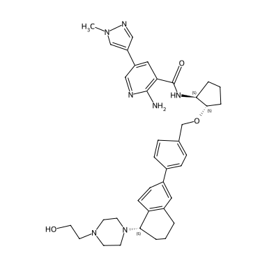 Cn1cc(-c2cnc(N)c(C(=O)N[C@H]3CCC[C@@H]3OCc3ccc(-c4ccc5c(c4)CCC[C@@H]5N4CCN(CCO)CC4)cc3)c2)cn1